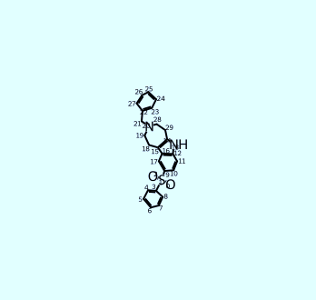 O=S(=O)(c1ccccc1)c1ccc2[nH]c3c(c2c1)CCN(Cc1ccccc1)CC3